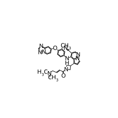 Cc1cc(Nc2c(C#N)cnn3ccc(C4CN(C(=O)/C=C/CN(C)C)C4)c23)ccc1Oc1ccn2ncnc2c1